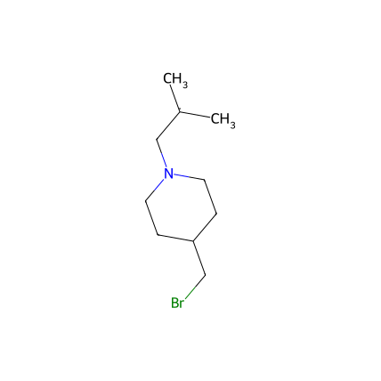 C[C](C)CN1CCC(CBr)CC1